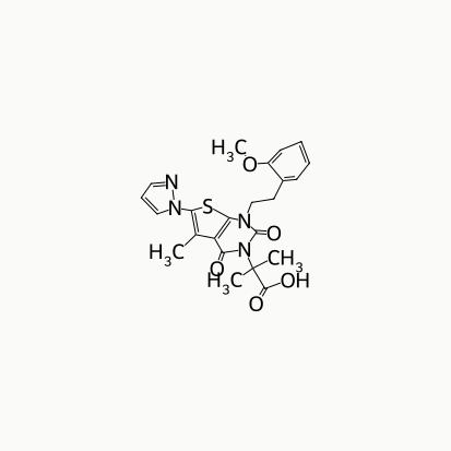 COc1ccccc1CCn1c(=O)n(C(C)(C)C(=O)O)c(=O)c2c(C)c(-n3cccn3)sc21